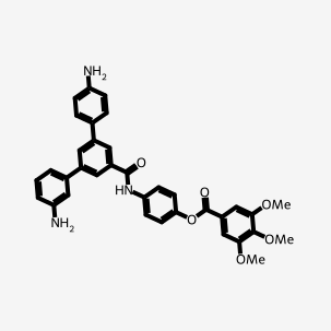 COc1cc(C(=O)Oc2ccc(NC(=O)c3cc(-c4ccc(N)cc4)cc(-c4cccc(N)c4)c3)cc2)cc(OC)c1OC